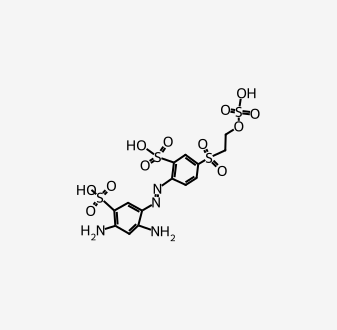 Nc1cc(N)c(S(=O)(=O)O)cc1N=Nc1ccc(S(=O)(=O)CCOS(=O)(=O)O)cc1S(=O)(=O)O